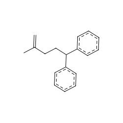 C=C(C)CCC(c1ccccc1)c1ccccc1